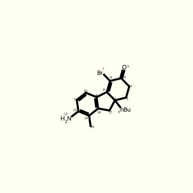 CCCCC12CCC(=O)C(Br)=C1c1ccc(N)c(C)c1C2